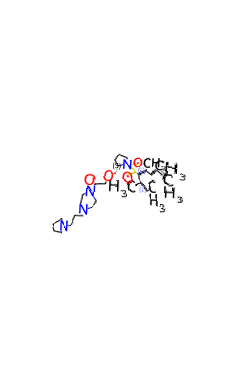 C/C=C(C)\C(=C(\C)C=C(C)C)S(=O)(=O)N1CCC[C@H]1COCC(=O)N1CCN(CCCN2CCCC2)CC1